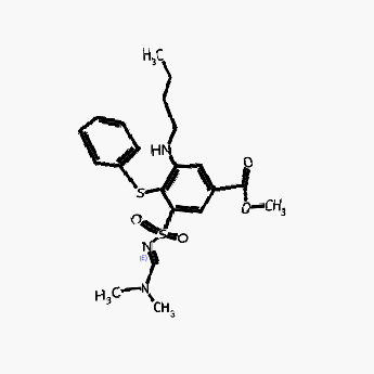 CCCCNc1cc(C(=O)OC)cc(S(=O)(=O)/N=C/N(C)C)c1Sc1ccccc1